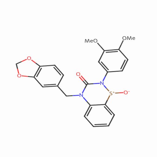 COc1ccc(N2C(=O)N(Cc3ccc4c(c3)OCO4)c3ccccc3[S+]2[O-])cc1OC